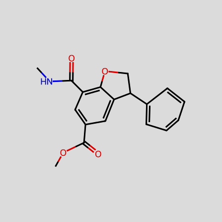 CNC(=O)c1cc(C(=O)OC)cc2c1OCC2c1ccccc1